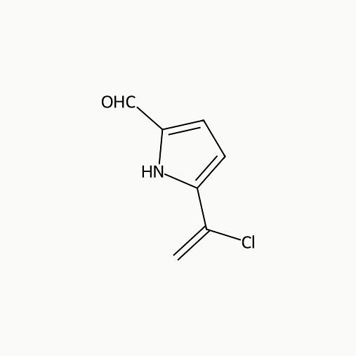 C=C(Cl)c1ccc(C=O)[nH]1